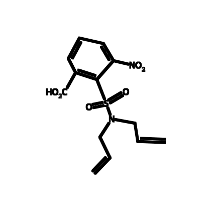 C=CCN(CC=C)S(=O)(=O)c1c(C(=O)O)cccc1[N+](=O)[O-]